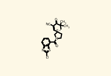 CC1(C)C[C@]2(C=C(C#N)C1=O)CCN(C(=O)c1cccc3nc(Cl)sc13)C2